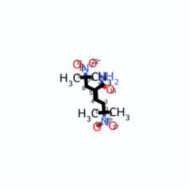 CC(C)(C/C=C(/CC(C)(C)[N+](=O)[O-])C(N)=O)[N+](=O)[O-]